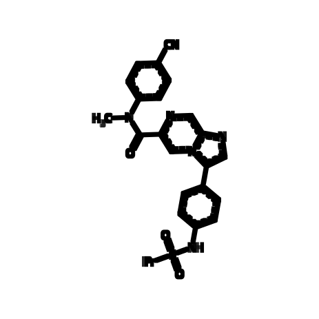 CC(C)S(=O)(=O)Nc1ccc(-c2cnc3cnc(C(=O)N(C)c4ccc(C#N)cc4)cn23)cc1